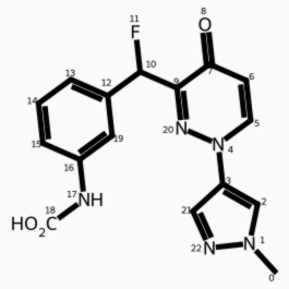 Cn1cc(-n2ccc(=O)c(C(F)c3cccc(NC(=O)O)c3)n2)cn1